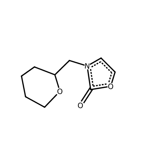 O=c1occn1CC1CCCCO1